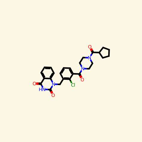 O=C(c1cccc(Cn2c(=O)[nH]c(=O)c3ccccc32)c1Cl)N1CCN(C(=O)C2CCCC2)CC1